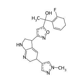 Cn1cc(C2C=C3C(=NC2)NCC3c2cc(C(C)(O)C3=C(F)CCC=C3)on2)cn1